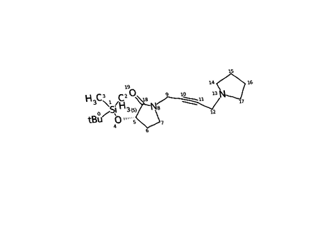 CC(C)(C)[Si](C)(C)O[C@H]1CCN(CC#CCN2CCCC2)C1=O